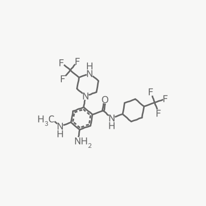 CNc1cc(N2CCNC(C(F)(F)F)C2)c(C(=O)NC2CCC(C(F)(F)F)CC2)cc1N